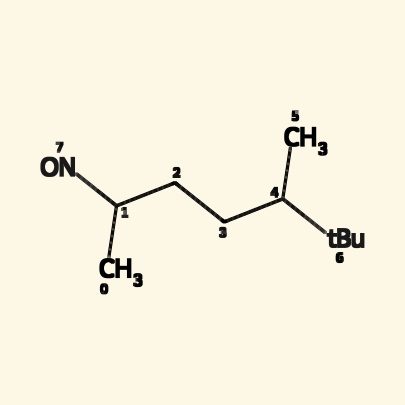 CC(CCC(C)C(C)(C)C)N=O